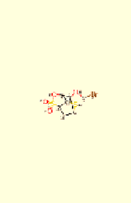 O=S1(=O)OC2C(OCBr)C3CC1C2S3